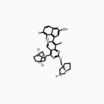 CCc1c(F)ccc2cc(O)cc(-c3ncc4c(N5C[C@H]6CC[C@@H](C5)C6(F)F)nc(OC[C@@]56CCCN5C[C@H](F)C6)nc4c3F)c12